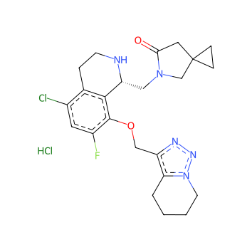 Cl.O=C1CC2(CC2)CN1C[C@H]1NCCc2c(Cl)cc(F)c(OCc3nnn4c3CCCC4)c21